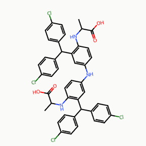 CC(Nc1ccc(Nc2ccc(NC(C)C(=O)O)c(C(c3ccc(Cl)cc3)c3ccc(Cl)cc3)c2)cc1C(c1ccc(Cl)cc1)c1ccc(Cl)cc1)C(=O)O